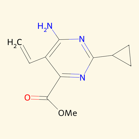 C=Cc1c(N)nc(C2CC2)nc1C(=O)OC